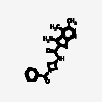 Cc1nnc2sc(C(=O)NC3CN(C(=O)c4ccccc4)C3)c(N)c2c1C